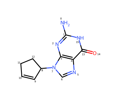 Nc1nc2c(ncn2C2C=CCC2)c(=O)[nH]1